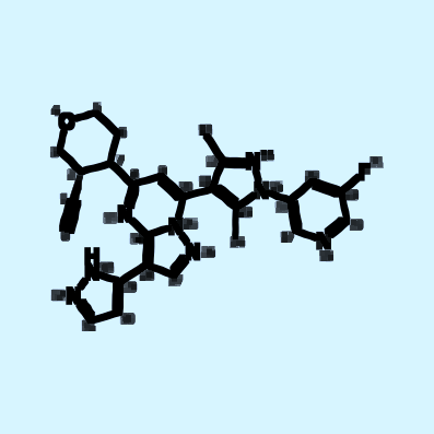 C#C[C@H]1COCCC1c1cc(-c2c(C)nn(-c3cncc(F)c3)c2C)n2ncc(-c3ccn[nH]3)c2n1